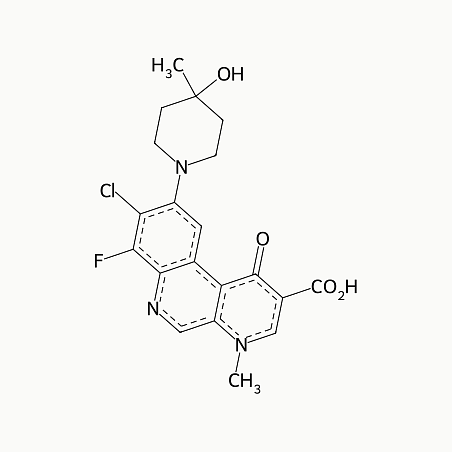 Cn1cc(C(=O)O)c(=O)c2c3cc(N4CCC(C)(O)CC4)c(Cl)c(F)c3ncc21